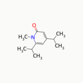 CC(C)c1cc(C(C)C)n(C)c(=O)c1